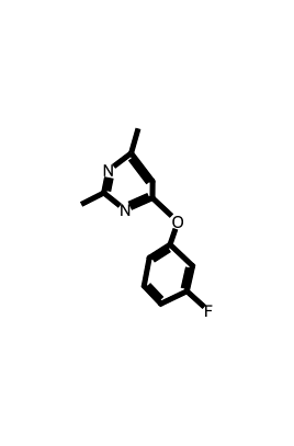 Cc1cc(Oc2cccc(F)c2)nc(C)n1